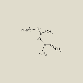 C=CC(C)OC(C)OCCCCC